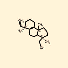 C=C[C@@]1(C)CCCC2=C1CCC1[C@](C)(CO)CCC[C@@]21C